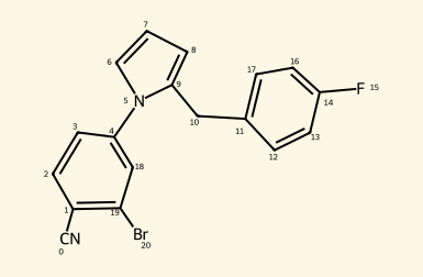 N#Cc1ccc(-n2cccc2Cc2ccc(F)cc2)cc1Br